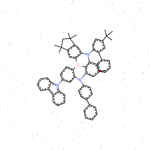 Cc1cc2c3c(c1)N(c1ccc(C(C)(C)C)cc1-c1ccccc1)c1cc4c(cc1B3c1ccc(-n3c5ccccc5c5ccccc53)cc1N2c1ccc(-c2ccccc2)cc1)C(C)(C)CC4(C)C